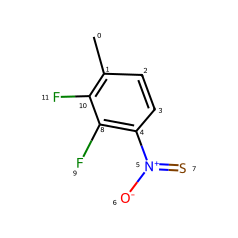 Cc1ccc([N+]([O-])=S)c(F)c1F